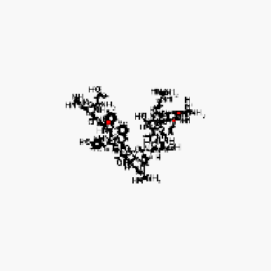 CC(C)[C@H](NC(=O)[C@H](CCCNC(=N)N)NC(=O)[C@H](CO)NC(=O)[C@H](C)NC(=O)[C@@H]1CCCN1C(=O)[C@H](CCCNC(=N)N)NC(=O)[C@H](CO)NC(=O)[C@H](Cc1ccccc1)NC(=O)[C@H](Cc1ccc(O)cc1)NC(=O)[C@H](Cc1ccccc1)NC(=O)CNC(=O)[C@H](CCCNC(=N)N)NC(=O)[C@@H](N)CC(=O)O)C(=O)N[C@@H](CO)C(=O)N[C@@H](CCCNC(=N)N)C(=O)N[C@@H](CCCNC(=N)N)C(=O)O